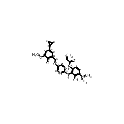 C=CC(=O)Nc1ccc(N(C)C)c(C)c1Nc1ncc(OCc2cc(C3CC3)cc(OC)c2Cl)cn1